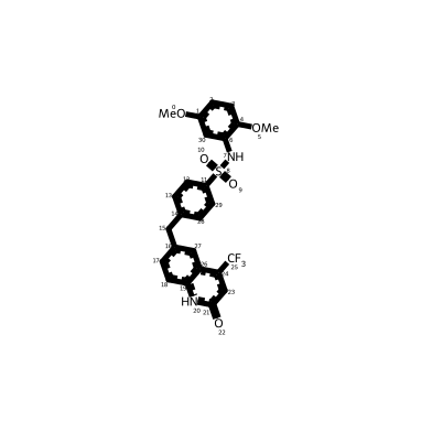 COc1ccc(OC)c(NS(=O)(=O)c2ccc(Cc3ccc4[nH]c(=O)cc(C(F)(F)F)c4c3)cc2)c1